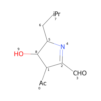 CC(=O)C1C(C=O)=NC(CC(C)C)C1O